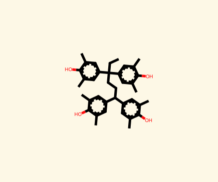 CCC(CCC(c1cc(C)c(O)c(C)c1)c1cc(C)c(O)c(C)c1)(c1cc(C)c(O)c(C)c1)c1cc(C)c(O)c(C)c1